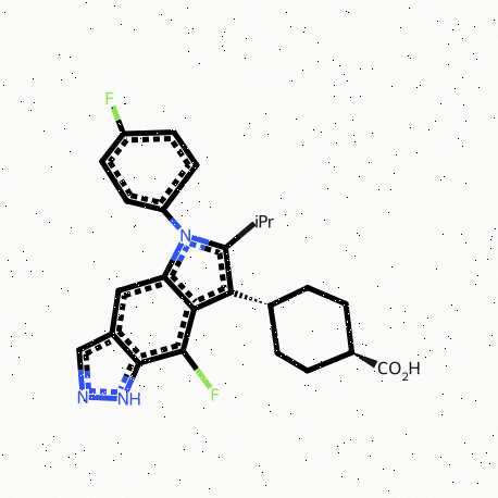 CC(C)c1c([C@H]2CC[C@H](C(=O)O)CC2)c2c(F)c3[nH]ncc3cc2n1-c1ccc(F)cc1